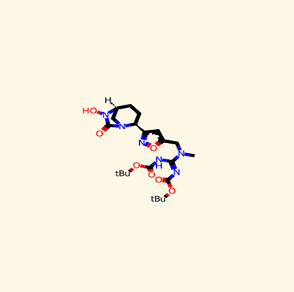 CN(Cc1cc([C@@H]2CC[C@H]3CN2C(=O)N3O)no1)/C(=N/C(=O)OC(C)(C)C)NC(=O)OC(C)(C)C